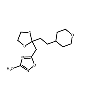 Cc1noc(CC2(CCC3CCOCC3)OCCO2)n1